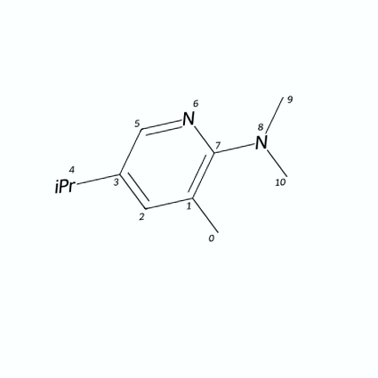 Cc1cc(C(C)C)cnc1N(C)C